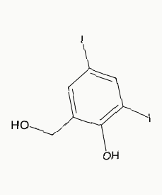 OCc1cc(I)cc(I)c1O